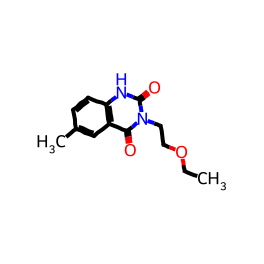 CCOCCn1c(=O)[nH]c2ccc(C)cc2c1=O